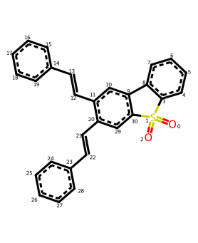 O=S1(=O)c2ccccc2-c2cc(C=Cc3ccccc3)c(C=Cc3ccccc3)cc21